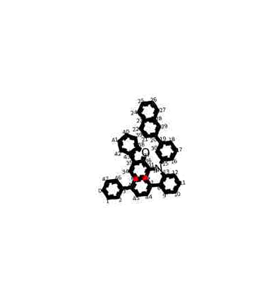 c1ccc(-c2ccc(-c3ccccc3N(c3cccc(-c4ccc5ccccc5c4)c3)c3cccc4c3oc3ccccc34)cc2)cc1